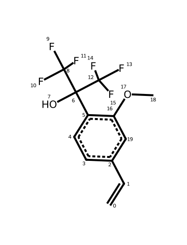 C=Cc1ccc(C(O)(C(F)(F)F)C(F)(F)F)c(OC)c1